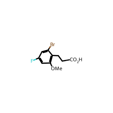 COc1cc(F)cc(Br)c1CCC(=O)O